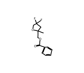 CC1(COC(=O)c2ccccc2)CC(F)(F)CO1